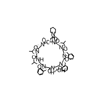 CC(C)C[C@@H]1NC(=O)[C@H](CC(C)C)N(C)C(=O)[C@H](C)N(C)C(=O)C[C@@H](CC(=O)N2CCCCC2)NC(=O)[C@H](CC(C)C)N(C)C(=O)[C@H](Cc2ccccc2)N(C)C(=O)[C@H](Cc2ccccc2)N(C)C(=O)[C@H](C(C)O)NC(=O)[C@H](Cc2ccccc2)N(C)C1=O